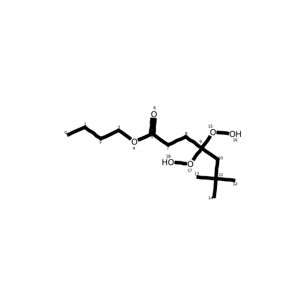 CCCCOC(=O)CCC(CC(C)(C)C)(OO)OO